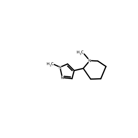 CN1CCCCC1c1cnn(C)c1